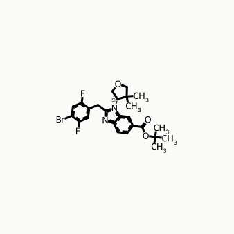 CC(C)(C)OC(=O)c1ccc2nc(Cc3cc(F)c(Br)cc3F)n([C@@H]3COCC3(C)C)c2c1